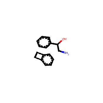 NCC(O)c1ccccc1.c1ccc2c(c1)CC2